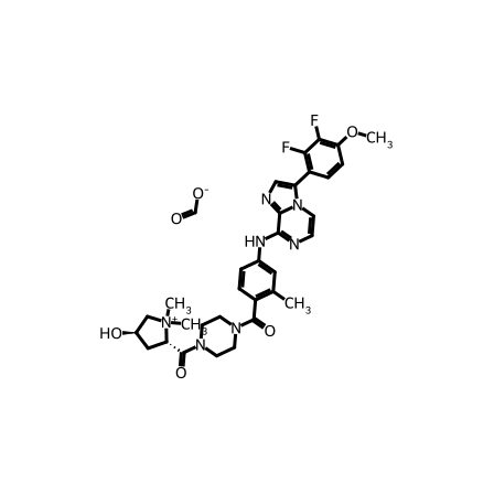 COc1ccc(-c2cnc3c(Nc4ccc(C(=O)N5CCN(C(=O)[C@@H]6C[C@@H](O)C[N+]6(C)C)CC5)c(C)c4)nccn23)c(F)c1F.O=C[O-]